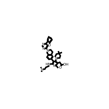 Cc1nc(NCCCN(C)C)c(-c2ccc3c(c2)CCN(c2ncnc4c2oc2ccccc24)C3)c(N2CCC(C)(C)CC2)c1CC(=O)O